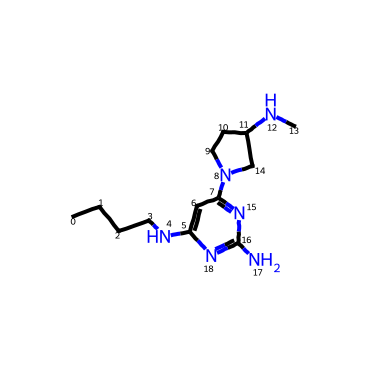 CCCCNc1cc(N2CCC(NC)C2)nc(N)n1